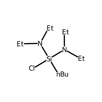 CCCC[Si](Cl)(N(CC)CC)N(CC)CC